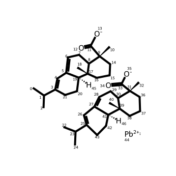 CC(C)C1=CC2=CCC3[C@](C)(C(=O)[O-])CCC[C@]3(C)[C@H]2CC1.CC(C)C1=CC2=CCC3[C@](C)(C(=O)[O-])CCC[C@]3(C)[C@H]2CC1.[Pb+2]